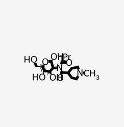 CCCC(=O)N(C(=O)C1CCN(C)CC1)C1C(O)O[C@H](CO)[C@@H](O)[C@@H]1O